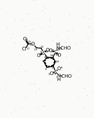 O=CNS(=O)(=O)c1ccc(S(=O)(=O)CCOC(=O)Cl)c(S(=O)(=O)NC=O)c1